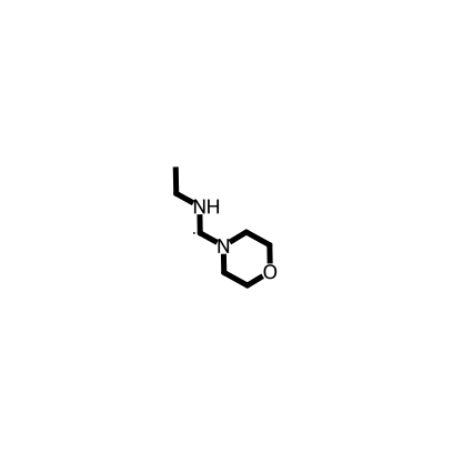 CCN[CH]N1CCOCC1